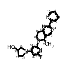 CC1c2cnc(-c3ccccn3)nc2CCN1c1cc(N2CCC(O)C2)cc(F)n1